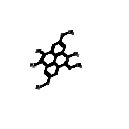 COC(=O)c1cc(OC)cc(OC)c1-c1c(OC)cc(OC)cc1C(=O)O